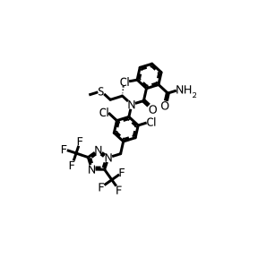 CSC[C@H](C)N(C(=O)c1c(Cl)cccc1C(N)=O)c1c(Cl)cc(Cn2nc(C(F)(F)F)nc2C(F)(F)F)cc1Cl